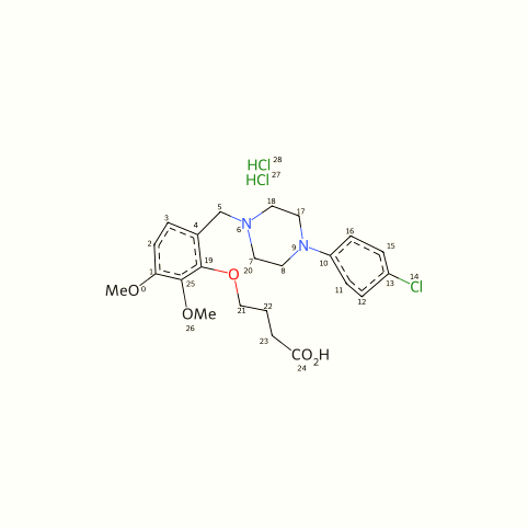 COc1ccc(CN2CCN(c3ccc(Cl)cc3)CC2)c(OCCCC(=O)O)c1OC.Cl.Cl